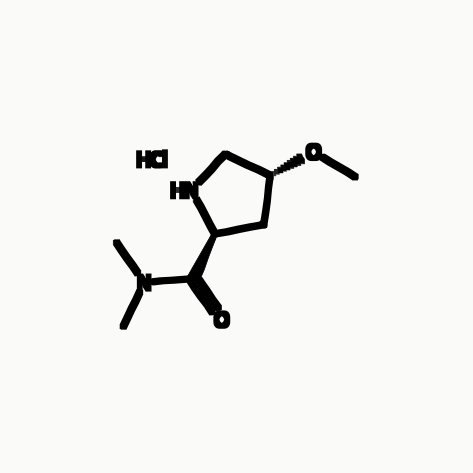 CO[C@H]1CN[C@H](C(=O)N(C)C)C1.Cl